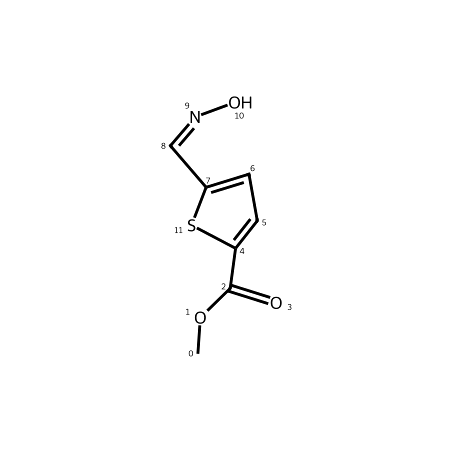 COC(=O)c1ccc(/C=N\O)s1